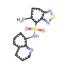 Cc1ccc2nsnc2c1S(=O)(=O)Nc1cccc2cccnc12